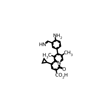 Cc1cn2c(=O)c(C(=O)O)cc(C3CC3)c2c(C)c1-c1ccc(N)c(C=N)c1